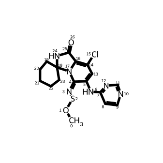 COS/N=c1\c(Nc2ccncn2)cc(Cl)c2n1C1(CCCCC1)NC2=O